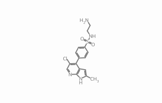 Cc1cc2c(-c3ccc(S(=O)(=O)NCCN)cc3)c(Cl)cnc2[nH]1